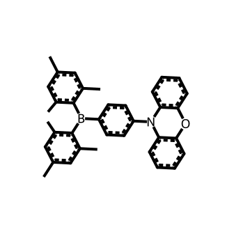 Cc1cc(C)c(B(c2ccc(N3c4ccccc4Oc4ccccc43)cc2)c2c(C)cc(C)cc2C)c(C)c1